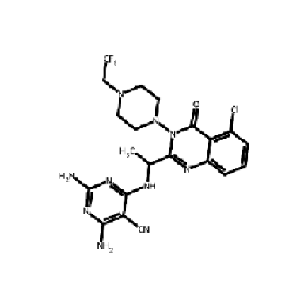 CC(Nc1nc(N)nc(N)c1C#N)c1nc2cccc(Cl)c2c(=O)n1N1CCN(CC(F)(F)F)CC1